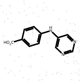 O=C(O)c1ccc(Nc2cncnc2)cc1